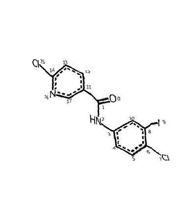 O=C(Nc1ccc(Cl)c(I)c1)c1ccc(Cl)nc1